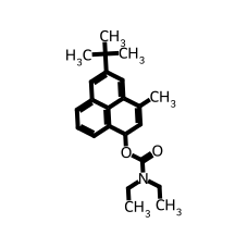 CCN(CC)C(=O)OC1C=C(C)c2cc(C(C)(C)C)cc3cccc1c23